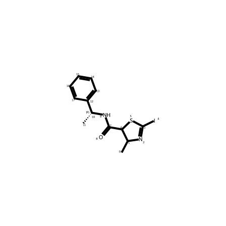 CC1N=C(I)SC1C(=O)N[C@H](C)c1ccccc1